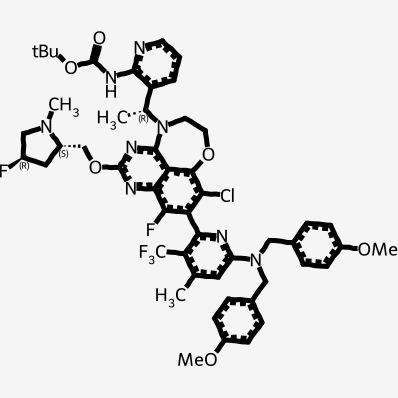 COc1ccc(CN(Cc2ccc(OC)cc2)c2cc(C)c(C(F)(F)F)c(-c3c(Cl)c4c5c(nc(OC[C@@H]6C[C@@H](F)CN6C)nc5c3F)N([C@H](C)c3cccnc3NC(=O)OC(C)(C)C)CCO4)n2)cc1